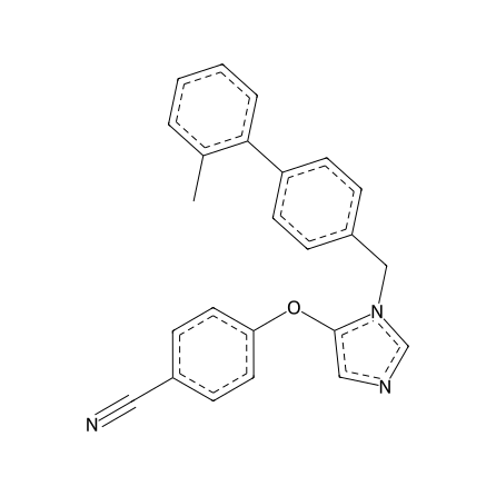 Cc1ccccc1-c1ccc(Cn2cncc2Oc2ccc(C#N)cc2)cc1